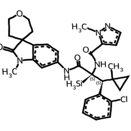 CN1C(=O)C2(CCOCC2)c2ccc(NC(=O)[C@]([SiH3])(NC(=O)c3ccnn3C)[C@H](c3ccccc3Cl)C3(C)CC3)cc21